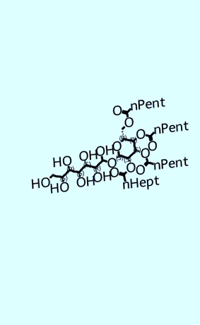 CCCCCCCC(=O)O[C@@H]1[C@H](OC(O)[C@H](O)[C@@H](O)[C@@H](O)[C@H](O)[C@@H](O)CO)O[C@H](COC(=O)CCCCC)[C@@H](OC(=O)CCCCC)[C@@H]1OC(=O)CCCCC